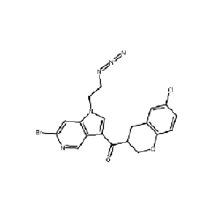 [N-]=[N+]=NCCn1cc(C(=O)C2COc3ccc(Cl)cc3C2)c2cnc(Br)cc21